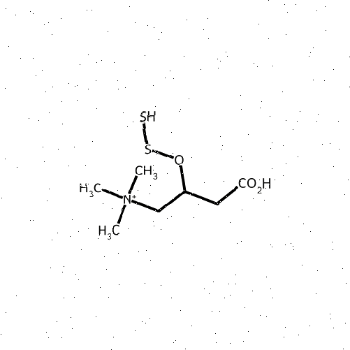 C[N+](C)(C)CC(CC(=O)O)OSS